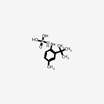 Cc1cc[c]([Na])c(C(C)(C)C)c1.O=P(O)(O)O